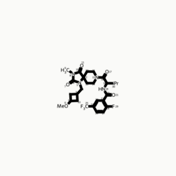 COC1CC(CN2C(=O)N(C)C(=O)C23CCN(C(=O)C(NC(=O)c2cc(C(F)(F)F)ccc2F)C(C)C)CC3)C1